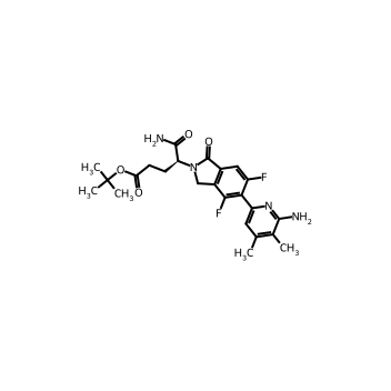 Cc1cc(-c2c(F)cc3c(c2F)CN([C@@H](CCC(=O)OC(C)(C)C)C(N)=O)C3=O)nc(N)c1C